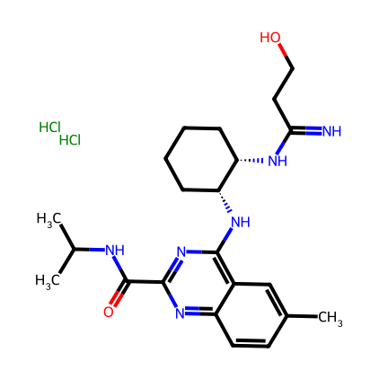 Cc1ccc2nc(C(=O)NC(C)C)nc(N[C@@H]3CCCC[C@@H]3NC(=N)CCO)c2c1.Cl.Cl